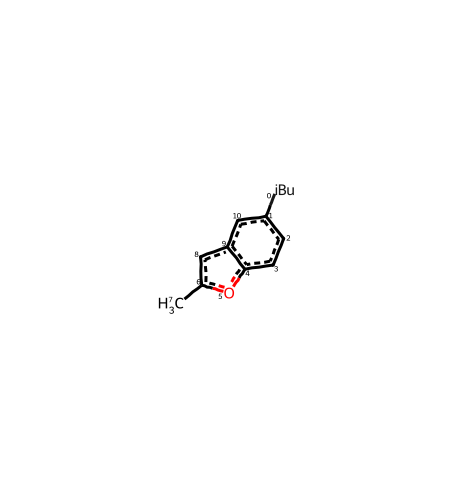 CCC(C)c1ccc2oc(C)cc2c1